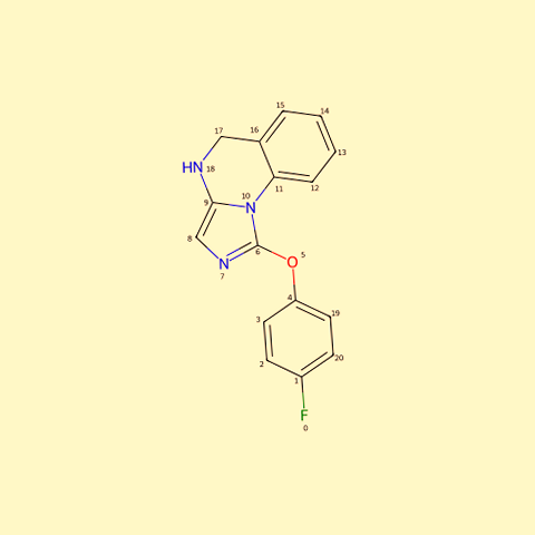 Fc1ccc(Oc2ncc3n2-c2ccccc2CN3)cc1